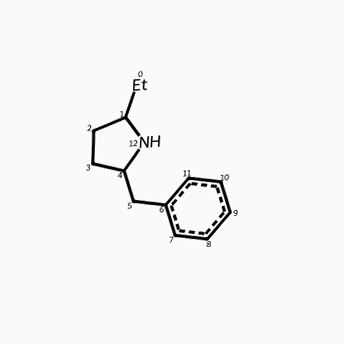 CCC1CCC(Cc2ccccc2)N1